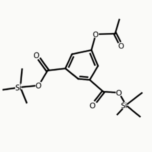 CC(=O)Oc1cc(C(=O)O[Si](C)(C)C)cc(C(=O)O[Si](C)(C)C)c1